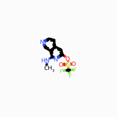 CNc1nc(OS(=O)(=O)C(F)(F)F)cc2ccncc12